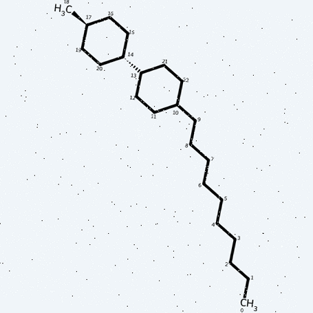 CCCCCCCCCCC1CCC([C@H]2CC[C@H](C)CC2)CC1